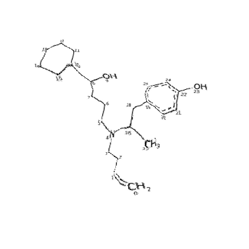 C=CCCN(CCCC(O)C1CCCCC1)C(C)Cc1ccc(O)cc1